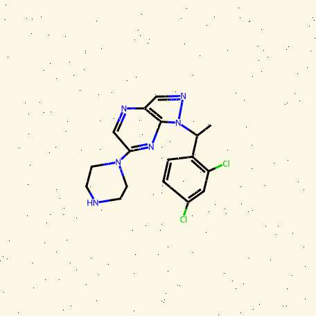 CC(c1ccc(Cl)cc1Cl)n1ncc2ncc(N3CCNCC3)nc21